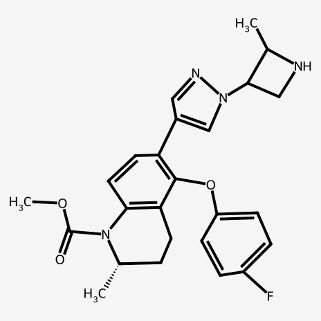 COC(=O)N1c2ccc(-c3cnn(C4CNC4C)c3)c(Oc3ccc(F)cc3)c2CC[C@@H]1C